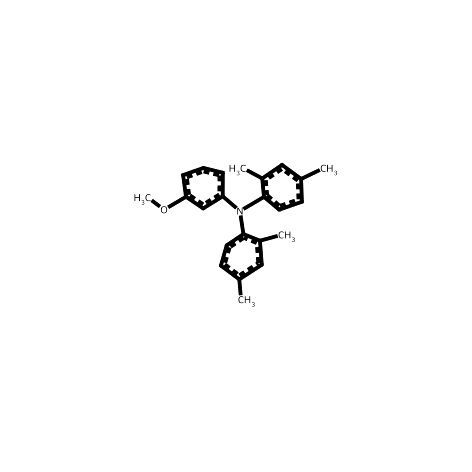 COc1cccc(N(c2ccc(C)cc2C)c2ccc(C)cc2C)c1